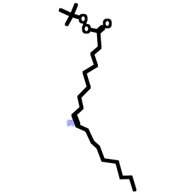 CCCCCCCC/C=C\CCCCCCCC(=O)OOC(C)(C)C